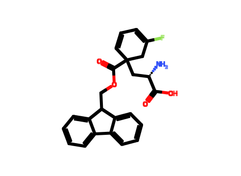 N[C@@H](CC1(C(=O)OCC2c3ccccc3-c3ccccc32)C=CC=C(F)C1)C(=O)O